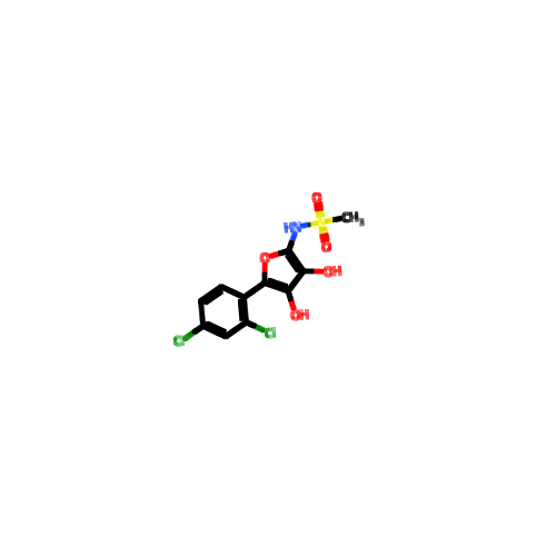 CS(=O)(=O)Nc1oc(-c2ccc(Cl)cc2Cl)c(O)c1O